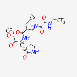 O=C(/N=C/C(CC1CC1)C(=O)N[C@@H](C[C@@H]1CCNC1=O)C(=O)COC(F)(F)F)C(=O)NCC(F)(F)F